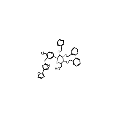 OC[C@H]1O[C@@H](c2ccc(Cl)c(Cc3ncc(-c4ccco4)s3)c2)[C@H](OCc2ccccc2)[C@H](OCc2ccccc2)[C@@H]1OCc1ccccc1